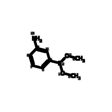 COB(OC)c1cccc(N)c1